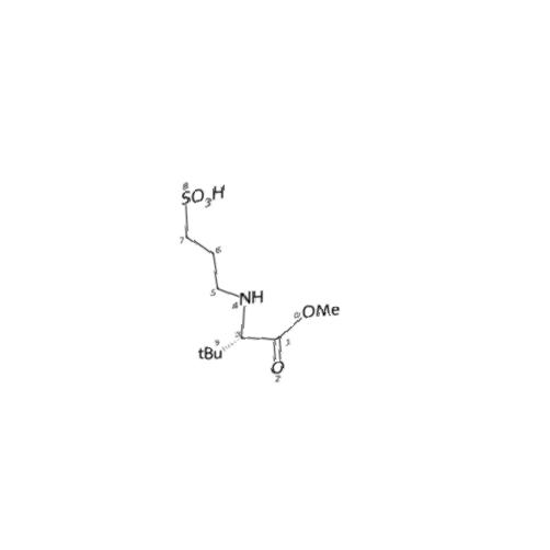 COC(=O)[C@@H](NCCCS(=O)(=O)O)C(C)(C)C